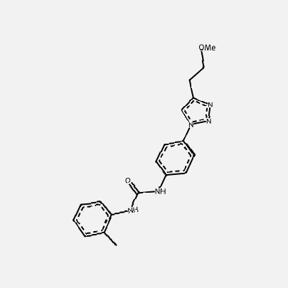 COCCc1cn(-c2ccc(NC(=O)Nc3ccccc3C)cc2)nn1